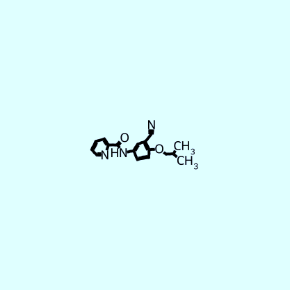 CC(C)COc1ccc(NC(=O)c2ccccn2)cc1C#N